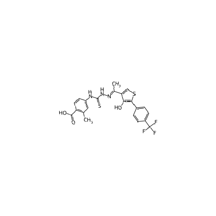 C/C(=N\NC(=S)Nc1ccc(C(=O)O)c(C)c1)c1csc(-c2ccc(C(F)(F)F)cc2)c1O